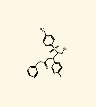 CC(=O)OCC(C(CC(=O)Oc1ccccc1)c1ccc(F)cc1)S(=O)(=O)c1ccc(C)cc1